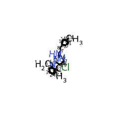 C=CN(C1=NC(NCCc2ccc(C)cc2)=NC=C(Cl)C1)c1ccccc1C